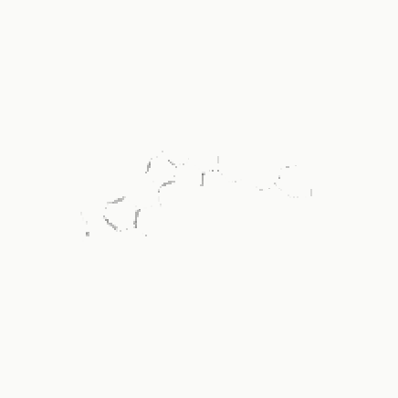 CCN(CC)CCCNC(=O)Nc1cc(Oc2ccc([N+](=O)[O-])cc2F)ccn1